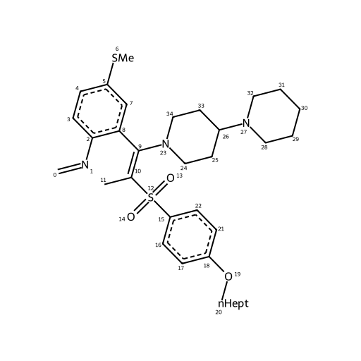 C=Nc1ccc(SC)cc1/C(=C(\C)S(=O)(=O)c1ccc(OCCCCCCC)cc1)N1CCC(N2CCCCC2)CC1